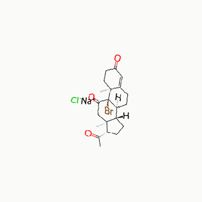 CC(=O)[C@H]1CC[C@H]2[C@@H]3CCC4=CC(=O)CC[C@]4(C)[C@@]3(Br)C(=O)C[C@]12C.[Cl-].[Na+]